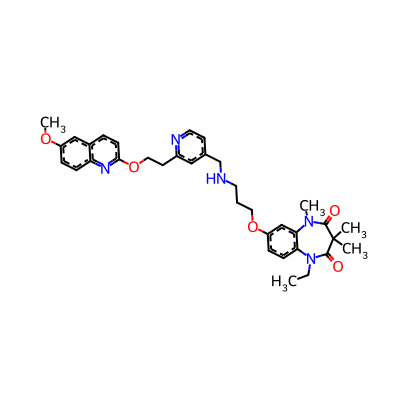 CCN1C(=O)C(C)(C)C(=O)N(C)c2cc(OCCCNCc3ccnc(CCOc4ccc5cc(OC)ccc5n4)c3)ccc21